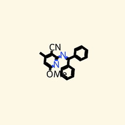 COc1cc(C)c(C#N)c(N=C(c2ccccc2)c2ccccc2)n1